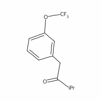 CC(C)C(=O)Cc1cccc(OC(F)(F)F)c1